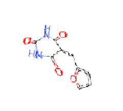 O=C1NC(=O)C(=Cc2ccco2)C(=O)N1